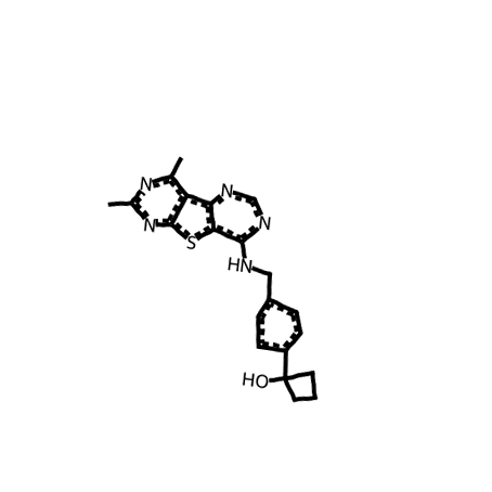 Cc1nc(C)c2c(n1)sc1c(NCc3ccc(C4(O)CCC4)cc3)ncnc12